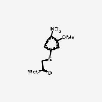 COC(=O)CSc1ccc([N+](=O)[O-])c(OC)c1